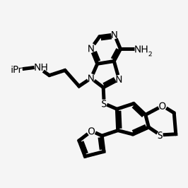 CC(C)NCCCn1c(Sc2cc3c(cc2-c2ccco2)SCCO3)nc2c(N)ncnc21